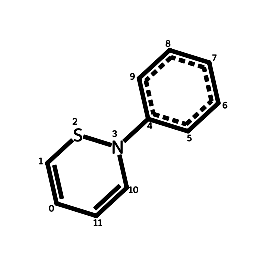 C1=CSN(c2ccccc2)C=C1